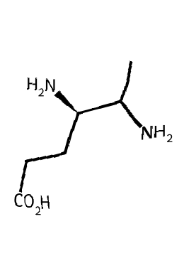 CC(N)[C@H](N)CCC(=O)O